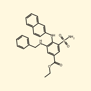 CCOC(=O)c1cc(NCc2ccccc2)c(Nc2ccc3ccccc3c2)c(S(N)(=O)=O)c1